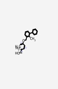 C\C=C(/C=C\C(C)=N\O)OCc1cccc(-c2ccccc2)c1C